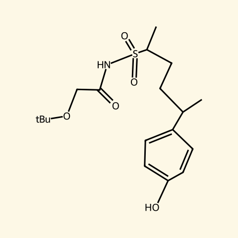 CC(CCC(C)S(=O)(=O)NC(=O)COC(C)(C)C)c1ccc(O)cc1